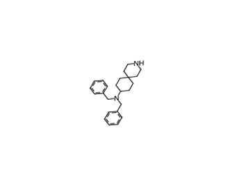 c1ccc(CN(Cc2ccccc2)C2CCC3(CCNCC3)CC2)cc1